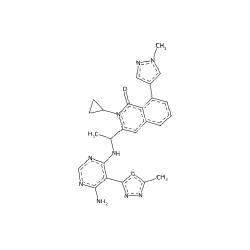 Cc1nnc(-c2c(N)ncnc2NC(C)c2cc3cccc(-c4cnn(C)c4)c3c(=O)n2C2CC2)o1